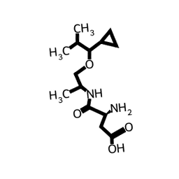 CC(COC(C(C)C)C1CC1)NC(=O)[C@@H](N)CC(=O)O